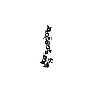 Cc1ccc(O[C@H]2CC[C@H](NC(=O)c3ccc(N4CCC(N(C(C)C)[C@H]5C[C@@H](Oc6ccc(C7=N[C@@H](Cc8ncco8)c8nnc(C)n8-c8sc(C)c(C)c87)cc6)C5)CC4)nn3)CC2)cc1Cl